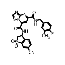 Cc1cc(CNC(=O)c2cc(C(=O)NC3CS(=O)(=O)c4cc(C#N)ccc43)n3ncnc3n2)ccc1F